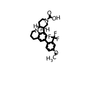 COc1ccc(-c2cc3c4c(c2)[C@@H]2CN(C(=O)O)CC[C@@H]2N4CCC3)c(C(F)(F)F)c1